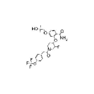 CC(C)(O)COc1ccc(C(N)=O)c(O[C@H]2CCN(C(=O)Cc3ccc(OC(F)(F)F)cc3)C[C@@H]2F)c1